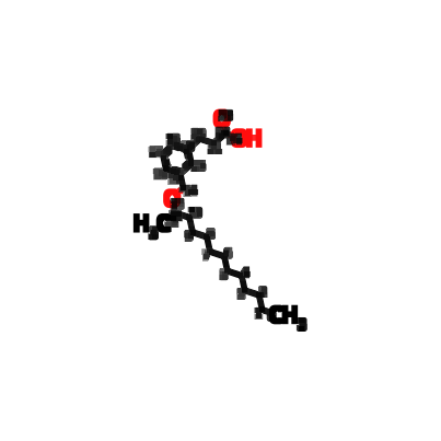 CCCCCCCCCCCC(C)OCc1cccc(CCC(=O)O)c1